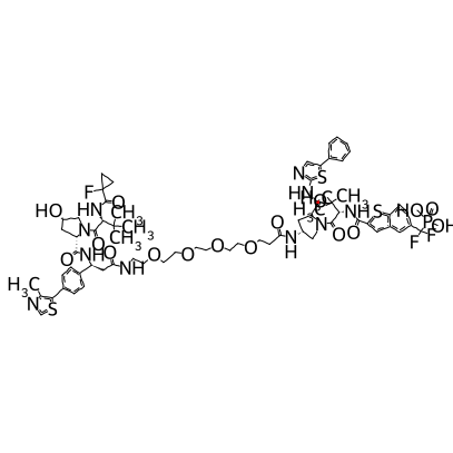 Cc1ncsc1-c1ccc([C@H](CC(=O)NCCOCCOCCOCCOCCC(=O)N[C@@H]2C[C@@H](C(=O)Nc3ncc(-c4ccccc4)s3)N(C(=O)[C@@H](NC(=O)c3cc4cc(C(F)(F)P(=O)(O)O)ccc4s3)C(C)(C)C)C2)NC(=O)[C@@H]2C[C@@H](O)CN2C(=O)[C@@H](NC(=O)C2(F)CC2)C(C)(C)C)cc1